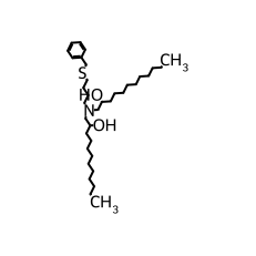 CCCCCCCCCCC(O)CN(CCCCSCc1ccccc1)CC(O)CCCCCCCCCC